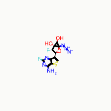 [N-]=[N+]=NC12O[C@@H](c3csc4c(N)nc(F)nc34)[C@H](F)[C@@]1(O)C2O